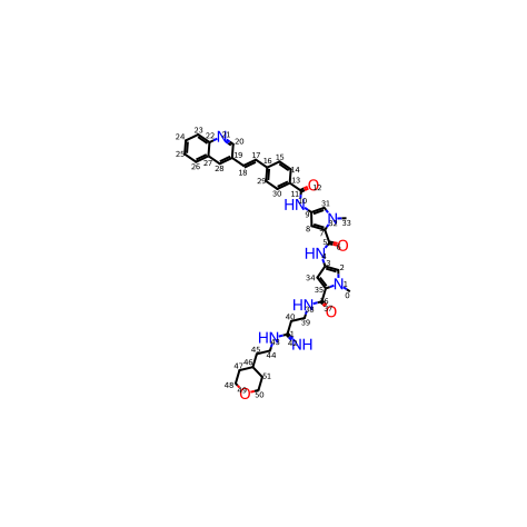 Cn1cc(NC(=O)c2cc(NC(=O)c3ccc(/C=C/c4cnc5ccccc5c4)cc3)cn2C)cc1C(=O)NCCC(=N)NCCC1CCOCC1